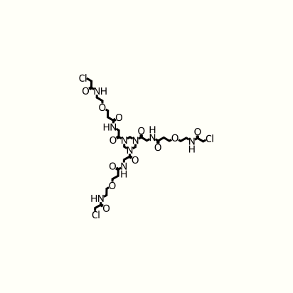 O=C(CCl)NCCOCCC(=O)NCC(=O)N1CN(C(=O)CNC(=O)CCOCCNC(=O)CCl)CN(C(=O)CNC(=O)CCOCCNC(=O)CCl)C1